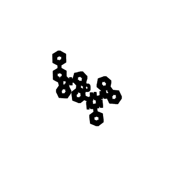 c1ccc(-c2ccc3c4ccccc4n(-c4cccc5oc6c(-c7nc(-c8ccccc8)nc(-n8c9ccccc9c9ccccc98)n7)cccc6c45)c3c2)cc1